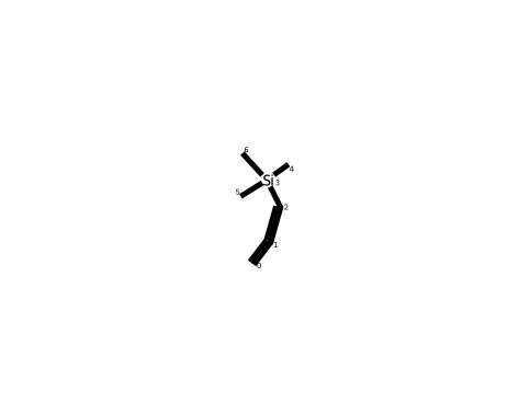 C=C=C[Si](C)(C)C